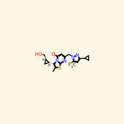 Cc1sc2nc(Cn3nc(C4CC4)cc3C(F)(F)F)cc(=O)n2c1[C@@H]1C[C@H]1CO